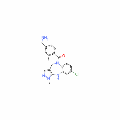 Cc1cc(CN)ccc1C(=O)N1Cc2cnn(C)c2Nc2cc(Cl)ccc21